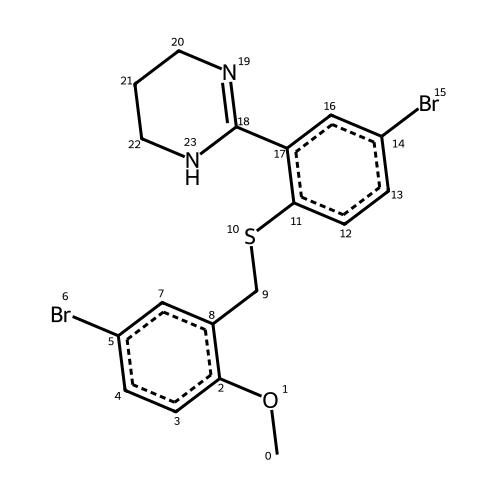 COc1ccc(Br)cc1CSc1ccc(Br)cc1C1=NCCCN1